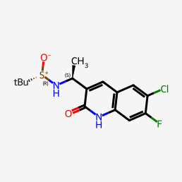 C[C@H](N[S@@+]([O-])C(C)(C)C)c1cc2cc(Cl)c(F)cc2[nH]c1=O